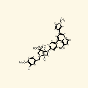 COc1ncc(CN2CC(C)(N)[C@H]3[C@@H]2CN3c2ccc(-c3cc(-c4cnn(C)c4)cn4ncc(C#N)c34)cn2)cc1F